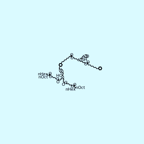 CCCCCCCCC(CCCCCC)C(=O)OCCCCOC(=O)CCN(CCC(=O)OCCCCOC(=O)C(CCCCCC)CCCCCCCC)CC(O)CN1CCN(Cc2ccc(CCCCCCCC(=O)OCCCCN(CCCCOC(=O)CCCCCCCc3ccccc3)CC(O)CN3CCOCC3)cc2)CC1